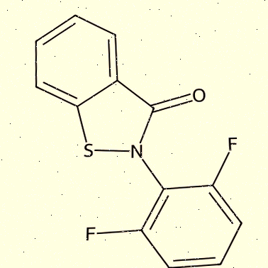 O=c1c2ccccc2sn1-c1c(F)cccc1F